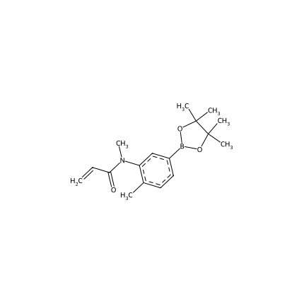 C=CC(=O)N(C)c1cc(B2OC(C)(C)C(C)(C)O2)ccc1C